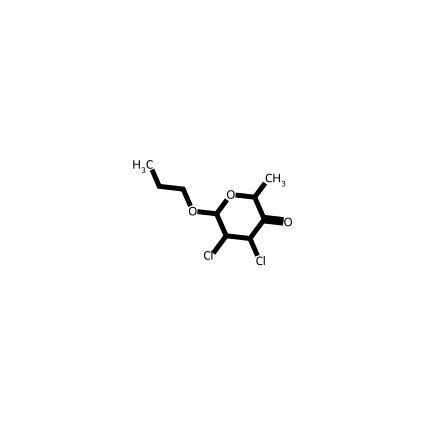 CCCOC1OC(C)C(=O)C(Cl)C1Cl